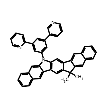 CC1(C)c2cc3ccccc3cc2-c2cc3c(cc21)c1cc2ccccc2cc1n3-c1cc(-c2cccnc2)cc(-c2ccccn2)c1